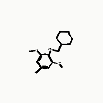 COc1cc(C)cc(OC)c1NCC1CCCCC1